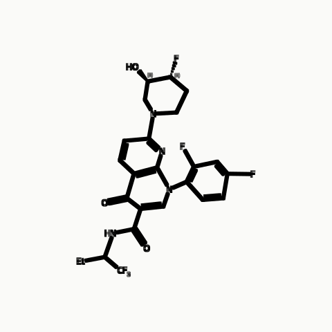 CCC(NC(=O)c1cn(-c2ccc(F)cc2F)c2nc(N3CC[C@@H](F)[C@H](O)C3)ccc2c1=O)C(F)(F)F